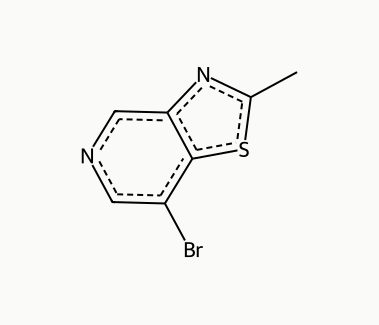 Cc1nc2cncc(Br)c2s1